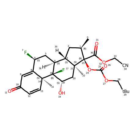 C[C@@H]1C[C@H]2[C@@H]3C[C@H](F)C4=CC(=O)C=C[C@]4(C)[C@@]3(F)[C@@H](O)C[C@]2(C)[C@@]1(OC(=O)OCC(C)(C)C)C(=O)OCC#N